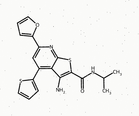 CC(C)NC(=O)c1sc2nc(-c3ccco3)cc(-c3cccs3)c2c1N